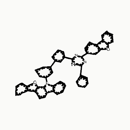 c1ccc(-c2nc(-c3cccc(-c4cccc(-n5c6ccccc6c6ccc7c8ccccc8oc7c65)c4)c3)nc(-c3ccc4c(c3)oc3ccccc34)n2)cc1